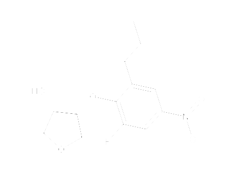 CCCc1cc([N+](=O)[O-])cc(F)c1O[C@@H]1COC[C@@H]1O